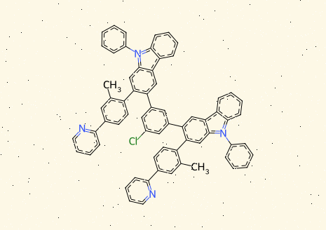 Cc1cc(-c2ccccn2)ccc1-c1cc2c(cc1-c1cc(Cl)cc(-c3cc4c5ccccc5n(-c5ccccc5)c4cc3-c3ccc(-c4ccccn4)cc3C)c1)c1ccccc1n2-c1ccccc1